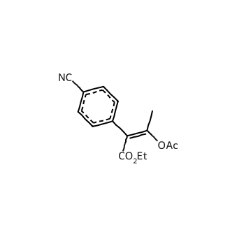 CCOC(=O)C(=C(C)OC(C)=O)c1ccc(C#N)cc1